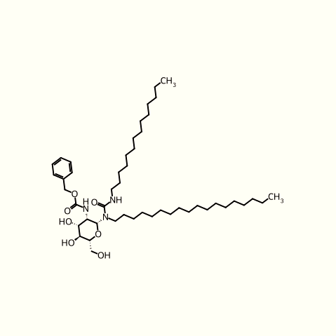 CCCCCCCCCCCCCCCCCCN(C(=O)NCCCCCCCCCCCCCC)[C@@H]1O[C@H](CO)[C@@H](O)[C@H](O)[C@@H]1NC(=O)OCc1ccccc1